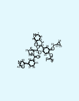 O=C(O[C@@H](Cc1ccncc1Cl)c1ccc(OC(F)F)c(OCC2CC2)c1)[C@@H]1SCCN1C(=O)c1cccc(-c2cnco2)c1